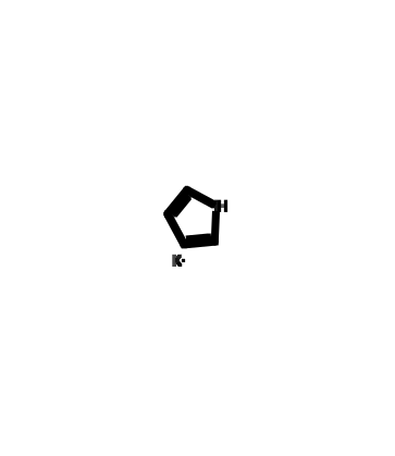 C1=C[IH]C=C1.[K]